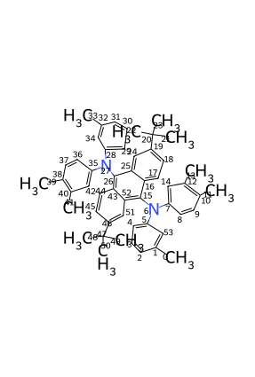 Cc1cccc(N(c2ccc(C)c(C)c2)c2c3ccc(C(C)(C)C)cc3c(N(c3cccc(C)c3)c3ccc(C)c(C)c3)c3ccc(C(C)(C)C)cc23)c1